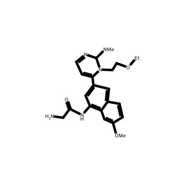 CCOCCN1C(c2cc(NC(=O)CN)c3cc(OC)ccc3c2)=CC=NC1NC